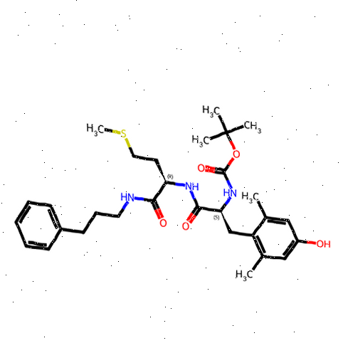 CSCC[C@@H](NC(=O)[C@H](Cc1c(C)cc(O)cc1C)NC(=O)OC(C)(C)C)C(=O)NCCCc1ccccc1